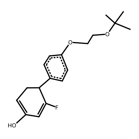 CC(C)(C)OCCOc1ccc(C2CC=C(O)C=C2F)cc1